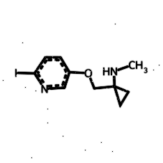 CNC1(COc2ccc(I)nc2)CC1